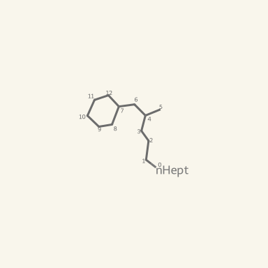 CCCCCCCCCCC(C)CC1CCCCC1